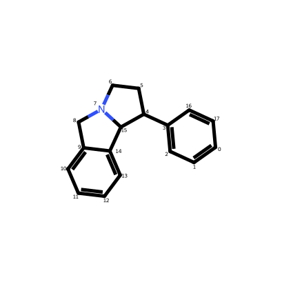 c1ccc(C2CCN3Cc4ccccc4C23)cc1